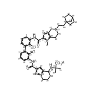 Cn1c(C(=O)Nc2cccc(-c3cccc(NC(=O)c4cc5n(n4)CCCC5NC(C)(C)C(=O)O)c3Cl)c2Cl)nc2c1CCN(CCC13CCC(CC1)C3)C2